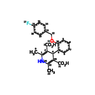 CC1=C(C(=O)O)C(c2ccccc2OCc2ccc(F)cc2)C(C(=O)O)=C(C)N1